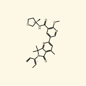 C=C/C(=C\C)N1C(=O)c2c(C)cc(-c3cnc(OC)c(C(=O)N[C@@]4(C)CCOC4)c3)nc2C1(C)C